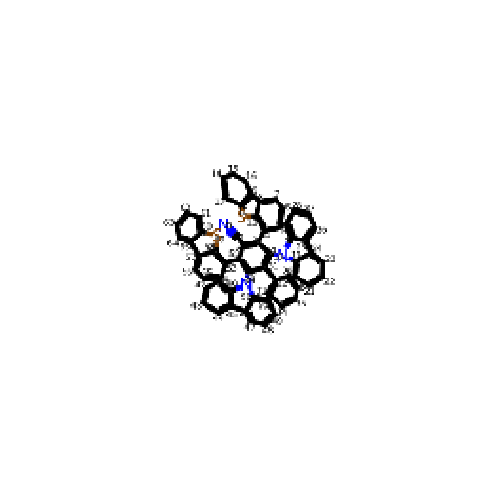 N#Cc1c(-c2cccc3c4c(sc23)C=CCC4)c(-n2c3ccccc3c3ccccc32)c(-c2ccccc2)c(-n2c3ccccc3c3ccccc32)c1-c1cccc2c1sc1ccccc12